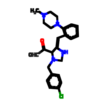 CN1CCN(c2ccccc2C=C2NCN(Cc3ccc(Cl)cc3)C2C(=O)C=O)CC1